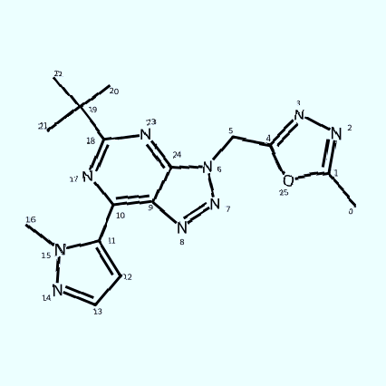 Cc1nnc(Cn2nnc3c(-c4ccnn4C)nc(C(C)(C)C)nc32)o1